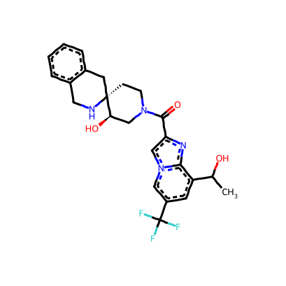 CC(O)c1cc(C(F)(F)F)cn2cc(C(=O)N3CC[C@]4(Cc5ccccc5CN4)[C@H](O)C3)nc12